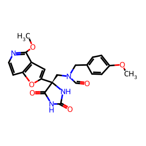 COc1ccc(CN(C=O)C[C@@]2(c3cc4c(OC)nccc4o3)NC(=O)NC2=O)cc1